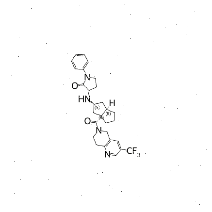 O=C1C(N[C@H]2C[C@H]3CCC[C@@]3(C(=O)N3CCc4ncc(C(F)(F)F)cc4C3)C2)CCN1c1ccccc1